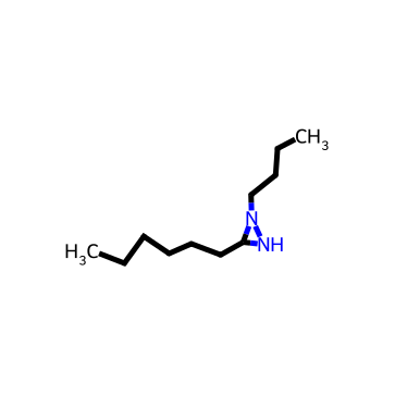 CCCCCCC1NN1CCCC